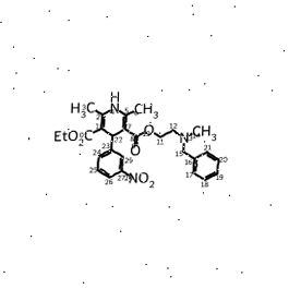 CCOC(=O)C1=C(C)NC(C)=C(C(=O)OCCN(C)Cc2ccccc2)C1c1cccc([N+](=O)[O-])c1